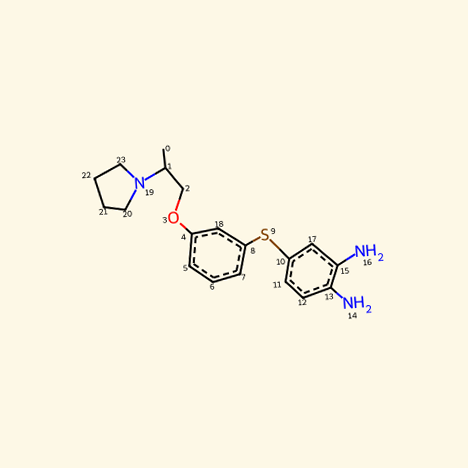 CC(COc1cccc(Sc2ccc(N)c(N)c2)c1)N1CCCC1